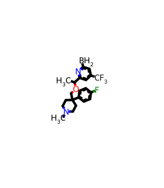 Bc1cc(C(F)(F)F)cc(C(C)OCC2(c3ccc(F)cc3)CCN(C)CC2)n1